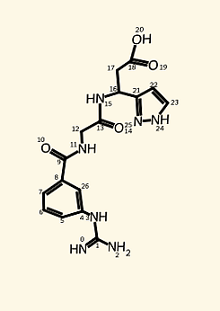 N=C(N)Nc1cccc(C(=O)NCC(=O)NC(CC(=O)O)c2cc[nH]n2)c1